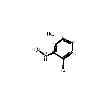 Cl.NNc1cccnc1Cl